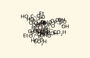 CCOP(=O)(OP(=O)(O)CP(=O)(O)O)C(CC(=O)O)(N1CCN(C(CC(=O)O)(P(=O)(O)O)P(=O)(OCC)OP(=O)(O)CP(=O)(O)O)CCN(C(CC(=O)O)(P(=O)(O)O)P(=O)(OCC)OP(=O)(O)CP(=O)(O)O)CC1)P(=O)(O)O